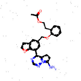 CC(=O)OCCc1ccccc1OCc1cc(-c2ncnn3c(N)ccc23)c2occc2c1